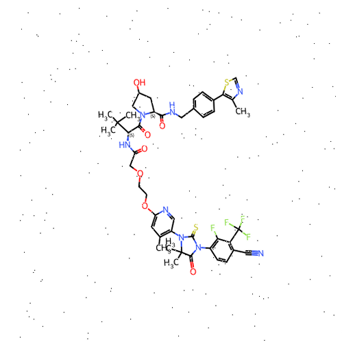 Cc1cc(OCCOCC(=O)N[C@H](C(=O)N2CC(O)C[C@H]2C(=O)NCc2ccc(-c3scnc3C)cc2)C(C)(C)C)ncc1N1C(=S)N(c2ccc(C#N)c(C(F)(F)F)c2F)C(=O)C1(C)C